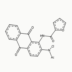 CC(=O)N(Cl)c1ccc2c(c1NC(=O)c1ccco1)C(=O)c1ccccc1C2=O